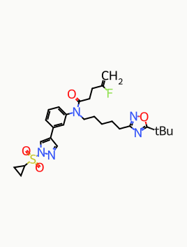 C=C(F)CCC(=O)N(CCCCCc1noc(C(C)(C)C)n1)c1cccc(-c2cnn(S(=O)(=O)C3CC3)c2)c1